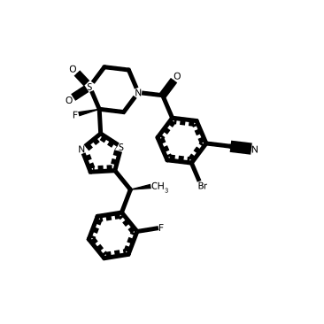 C[C@H](c1cnc([C@@]2(F)CN(C(=O)c3ccc(Br)c(C#N)c3)CCS2(=O)=O)s1)c1ccccc1F